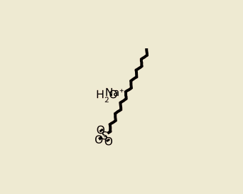 CCCCCCCCCCCCCCCCS(=O)(=O)[O-].O.[Na+]